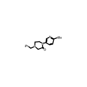 CC(C)CN1CCN(c2ccc(C(C)(C)C)nc2)C(=O)C1